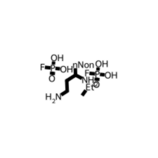 CCC.CCCCCCCCCC(N)CCN.O=P(O)(O)F.O=P(O)(O)F